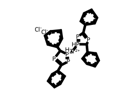 [Cl-].[Cl-].c1ccc(C2=PC(c3ccccc3)[PH]([Zr+2][PH]3=PC(c4ccccc4)=PC3c3ccccc3)=P2)cc1